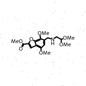 COC(=O)c1cc2c(OC)cc(CNCC(OC)OC)c(OC)c2o1